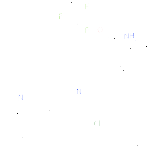 NC(=O)c1c([CH]C(F)(F)F)c(-c2cccnc2)nc2c(Cl)cccc12